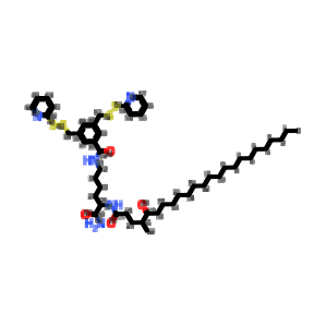 CCCCCCCCCCCCCCCCCCCC(=O)C(C)CCC(=O)NC(CCCCNC(=O)c1cc(CSSc2ccccn2)cc(CSSc2ccccn2)c1)C(N)=O